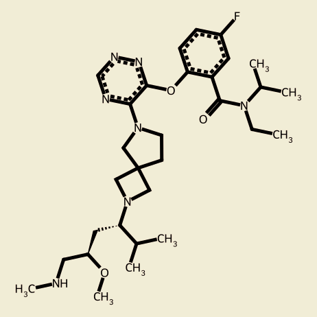 CCN(C(=O)c1cc(F)ccc1Oc1nncnc1N1CCC2(C1)CN([C@@H](C[C@H](CNC)OC)C(C)C)C2)C(C)C